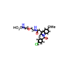 COc1ccc2c(c1)c(CC(=O)NCCOCCNC(=O)O)c(C)n2C(=O)c1ccc(Cl)cc1